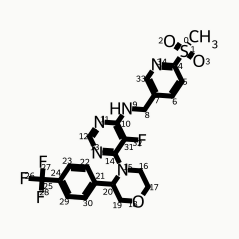 CS(=O)(=O)c1ccc(CNc2ncnc(N3CCOCC3c3ccc(C(F)(F)F)cc3)c2F)cn1